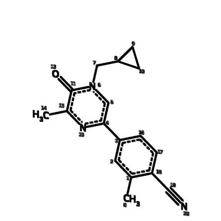 Cc1cc(-c2cn(CC3CC3)c(=O)c(C)n2)ccc1C#N